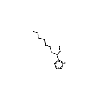 CCCCCCCC(CC)c1ccc[nH]1